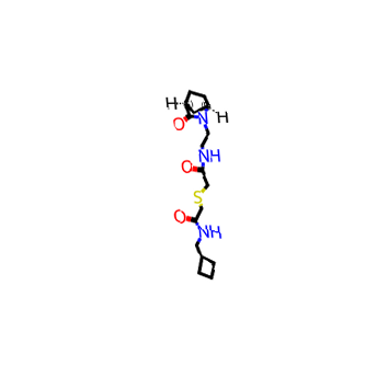 O=C(CSCC(=O)NCC1CCC1)NCCN1C(=O)[C@H]2CC[C@@H]1C2